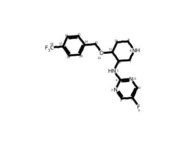 Fc1cnc(NC2CNCCC2OCc2ccc(C(F)(F)F)cc2)nc1